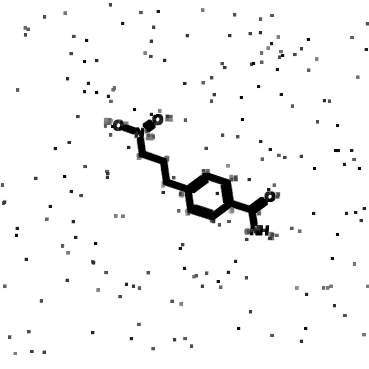 NC(=O)c1ccc(CCC[N+](=O)[O-])cc1